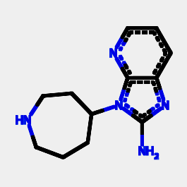 Nc1nc2cccnc2n1C1CCCNCC1